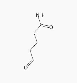 [NH]C(=O)CCCC=O